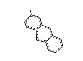 Cc1ccc2cc3c[c]ccc3cc2c1